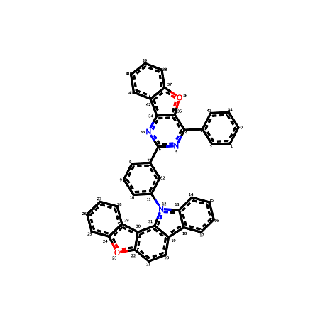 c1ccc(-c2nc(-c3cccc(-n4c5ccccc5c5ccc6oc7ccccc7c6c54)c3)nc3c2oc2ccccc23)cc1